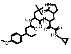 CCC(CC(=O)NC(CC(C)(C)C)C(=O)NC(C[C@@H]1CCNC1=O)C(=O)C(=O)NC1CC1)c1ccc(OC)cc1